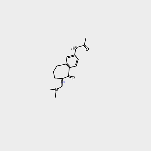 CC(=O)Nc1ccc2c(c1)CCC/C(=C\N(C)C)C2=O